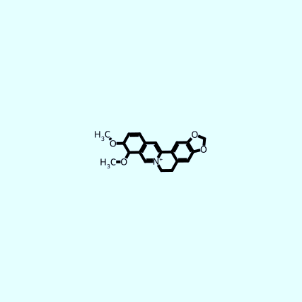 COC1C=Cc2cc3[n+](cc2C1OC)CCc1cc2c(cc1-3)OCO2